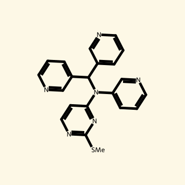 CSc1nccc(N(c2cccnc2)C(c2cccnc2)c2cccnc2)n1